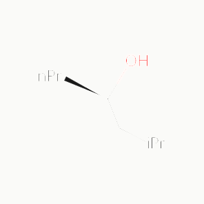 CCC[C@@H](O)CC(C)C